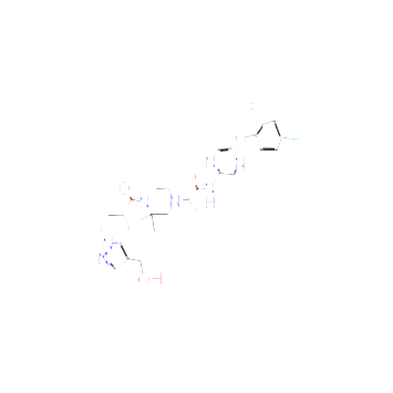 CC(C(=O)Nc1cnc(Oc2ccc(F)cc2F)cn1)N1CCN(C(=O)C2CCn3ncc(CO)c3C2)C(C)(C)C1